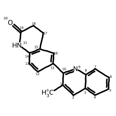 Cc1cc2ccccc2nc1-c1ccc2c(c1)CCC(=O)N2